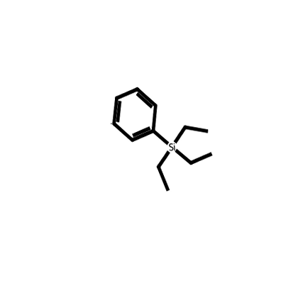 CC[Si](CC)(CC)c1c[c]ccc1